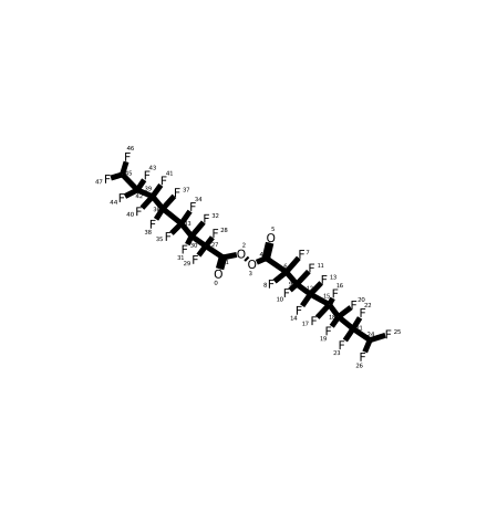 O=C(OOC(=O)C(F)(F)C(F)(F)C(F)(F)C(F)(F)C(F)(F)C(F)(F)C(F)F)C(F)(F)C(F)(F)C(F)(F)C(F)(F)C(F)(F)C(F)(F)C(F)F